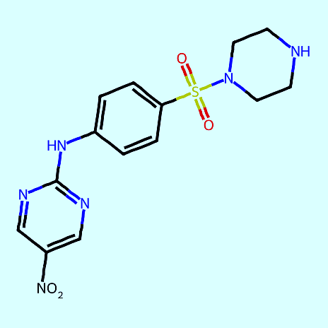 O=[N+]([O-])c1cnc(Nc2ccc(S(=O)(=O)N3CCNCC3)cc2)nc1